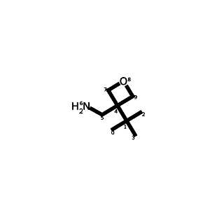 CC(C)(C)C1(CN)COC1